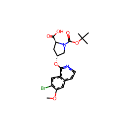 COc1cc2ccnc(O[C@@H]3C[C@@H](C(=O)O)N(C(=O)OC(C)(C)C)C3)c2cc1Br